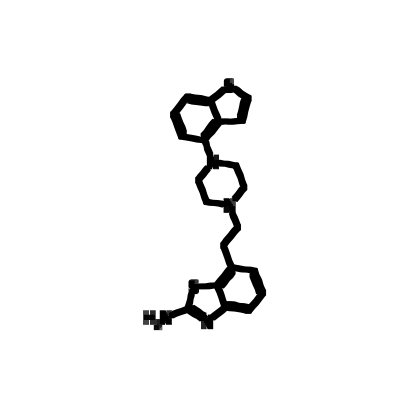 Nc1nc2cccc(CCN3CCN(c4cccc5sccc45)CC3)c2s1